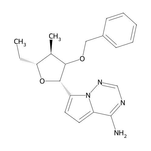 CC[C@H]1O[C@@H](c2ccc3c(N)ncnn23)C(OCc2ccccc2)[C@@H]1C